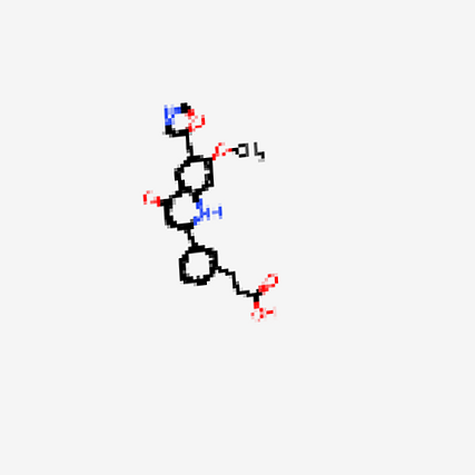 COc1cc2[nH]c(-c3cccc(CCC(=O)O)c3)cc(=O)c2cc1-c1cnco1